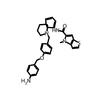 Cn1c(C(=O)Nc2cccc3c2N(Cc2ccc(OCc4ccc(N)cc4)cc2)CCC3)cc2sccc21